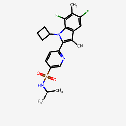 Cc1c(F)cc2c(C#N)c(-c3ccc(S(=O)(=O)N[C@@H](C)C(F)(F)F)cn3)n(C3CCC3)c2c1F